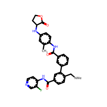 CNCc1ccc(C(=O)Nc2ccncc2F)cc1-c1cccc(C(=O)Nc2ccc(NC3CCOC3=O)cc2C)c1